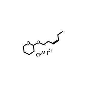 [CH2]C/C=C\CCOC1CCCCO1.[Cl][Mg][Cl]